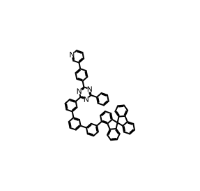 c1ccc(-c2nc(-c3ccc(-c4cccnc4)cc3)nc(-c3cccc(-c4cccc(-c5cccc(-c6cccc7c6-c6ccccc6C76c7ccccc7-c7ccccc76)c5)c4)c3)n2)cc1